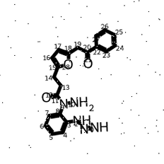 N=NNc1ccccc1N(N)C(=O)CCc1ccc(CC(=O)c2ccccc2)o1